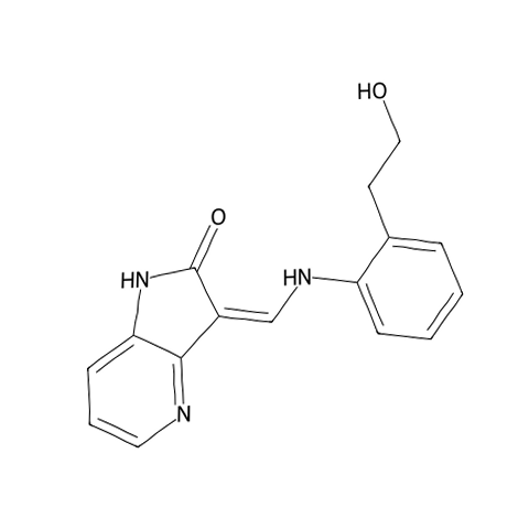 O=C1Nc2cccnc2C1=CNc1ccccc1CCO